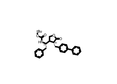 CC(C)(C)OC(=O)N[C@@H](Cc1ccccc1)C1COC(=O)[C@@H]1Cc1ccc(-c2ccccc2)cc1